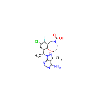 Cc1nn(C(C)c2cc(Cl)c(F)c3c2OCCCN(C(=O)O)C3)c2ncnc(N)c12